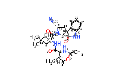 CC(=O)NC(C(=O)N[C@@H](CC(C)(C)C)C(=O)N1C[C@]2(C[C@H]1C#N)C(=O)Nc1ccccc12)C(C)C